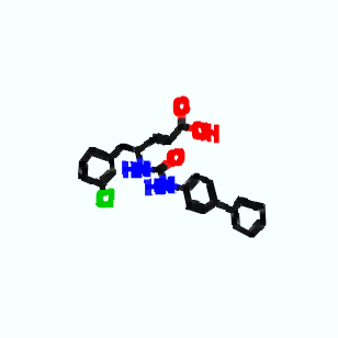 O=C(O)C=C[C@H](Cc1cccc(Cl)c1)NC(=O)Nc1ccc(-c2ccccc2)cc1